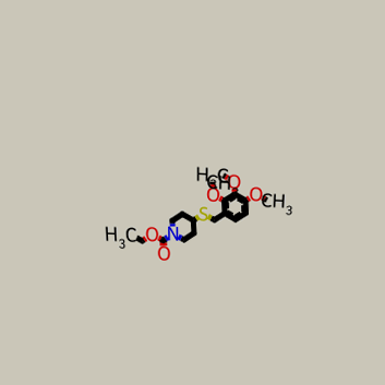 CCOC(=O)N1CCC(SCc2ccc(OC)c(OC)c2OC)CC1